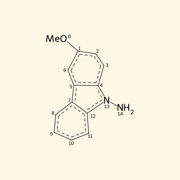 COc1ccc2c(c1)c1ccccc1n2N